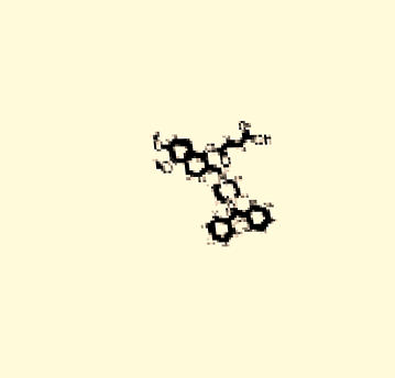 COc1ccc2c(c1OC)CCC(CN1CCN(C(c3ccccc3)c3ccccc3)CC1)C2OC(=O)/C=C/C(=O)O